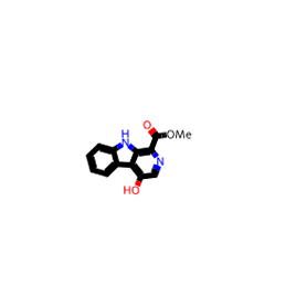 COC(=O)c1ncc(O)c2c1[nH]c1ccccc12